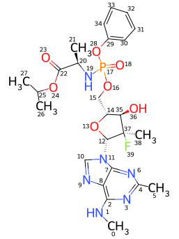 CNc1nc(C)nc2c1ncn2[C@@H]1O[C@H](COP(=O)(N[C@H](C)C(=O)OC(C)C)Oc2ccccc2)[C@@H](O)[C@@]1(C)F